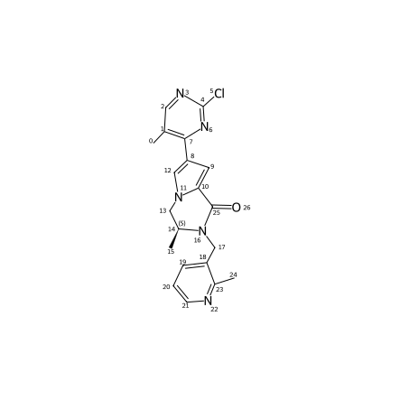 Cc1cnc(Cl)nc1-c1cc2n(c1)C[C@H](C)N(Cc1cccnc1C)C2=O